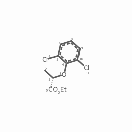 CCOC(=O)[C@H](C)Oc1c(Cl)cccc1Cl